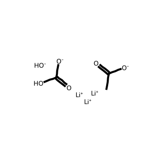 CC(=O)[O-].O=C([O-])O.[Li+].[Li+].[Li+].[OH-]